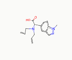 C=CCN(CC=C)C(C(=O)O)c1ccc2c(cnn2C)c1